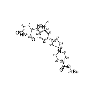 Cn1nc(C2CCC(=O)NC2=O)c2ccc(N3CCC(N4CCN(C(=O)OC(C)(C)C)CC4)C3)cc21